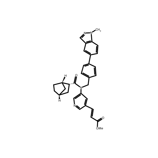 COC(=O)/C=C/c1cncc(N(Cc2ccc(-c3ccc4c(cnn4C)c3)cc2)C(=O)[C@@H]2C[C@@H]3CC[C@H]2C3)c1